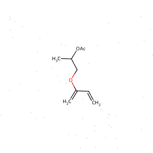 C=CC(=C)OCC(C)OC(C)=O